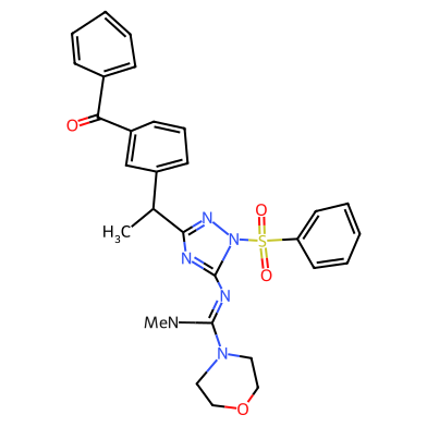 CN/C(=N\c1nc(C(C)c2cccc(C(=O)c3ccccc3)c2)nn1S(=O)(=O)c1ccccc1)N1CCOCC1